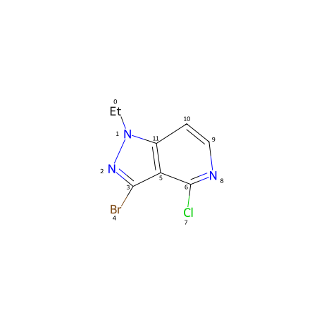 CCn1nc(Br)c2c(Cl)nccc21